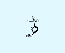 CCCCc1ccc(S(=O)(=O)Cl)s1